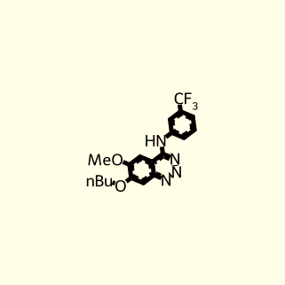 CCCCOc1cc2nnnc(Nc3cccc(C(F)(F)F)c3)c2cc1OC